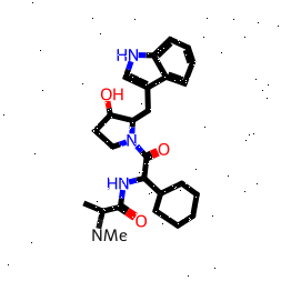 CNC(C)C(=O)NC(C(=O)N1CCC(O)C1Cc1c[nH]c2ccccc12)C1CCCCC1